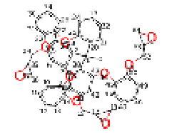 CC(c1ccccc1Oc1ccccc1OCC1CO1)(c1ccccc1Oc1ccccc1OCC1CO1)c1ccccc1Oc1ccccc1OCC1CO1